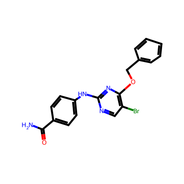 NC(=O)c1ccc(Nc2ncc(Br)c(OCc3ccccc3)n2)cc1